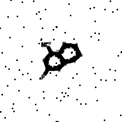 N#Cc1cc(F)cc2ccccc12